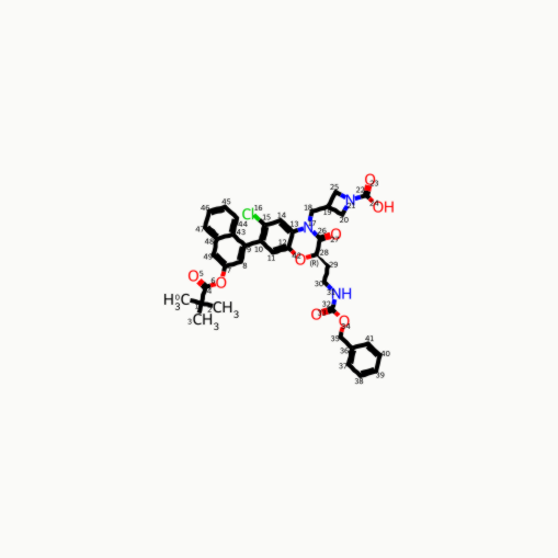 CC(C)(C)C(=O)Oc1cc(-c2cc3c(cc2Cl)N(CC2CN(C(=O)O)C2)C(=O)[C@@H](CCNC(=O)OCc2ccccc2)O3)c2ccccc2c1